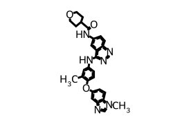 Cc1cc(Nc2ncnc3ccc(NC(=O)C4CCOCC4)cc23)ccc1Oc1ccc2c(c1)ncn2C